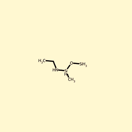 CCN[SiH](C)O[SiH3]